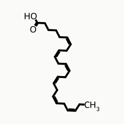 CC/C=C\C/C=C\C/C=C\C/C=C\C/C=C\C/C=C\CCCCC(=O)O